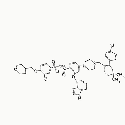 CC1(C)CCC(CN2CCN(c3ccc(C(=O)NS(=O)(=O)c4ccc(OCC5CCOCC5)c(Cl)c4)c(Oc4cccc5[nH]ncc45)c3)CC2)=C(c2ccc(Cl)cc2)C1